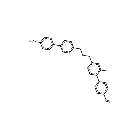 Cc1ccc(-c2ccc(CCCc3ccc(-c4ccc(C)cc4)c(F)c3)cc2)cc1